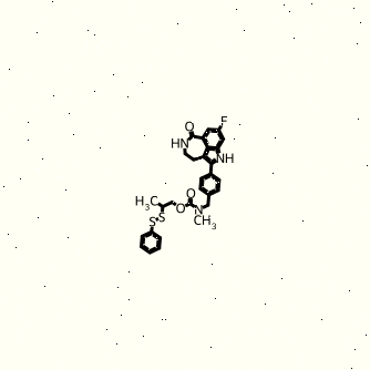 CC(COC(=O)N(C)Cc1ccc(-c2[nH]c3cc(F)cc4c3c2CCNC4=O)cc1)SSc1ccccc1